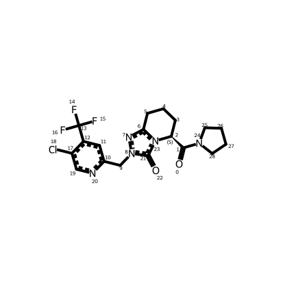 O=C([C@@H]1CCCc2nn(Cc3cc(C(F)(F)F)c(Cl)cn3)c(=O)n21)N1CCCC1